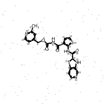 Cc1cc(COC(=O)NC(=O)c2ccsc2NC(=O)C2Nc3cnccc3S2)ccn1